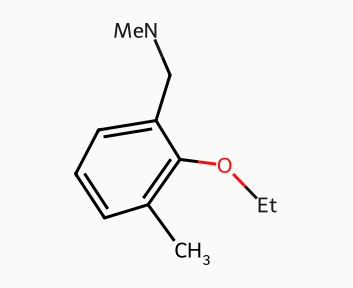 CCOc1c(C)cccc1CNC